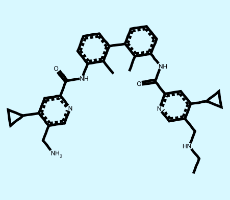 CCNCc1cnc(C(=O)Nc2cccc(-c3cccc(NC(=O)c4cc(C5CC5)c(CN)cn4)c3C)c2C)cc1C1CC1